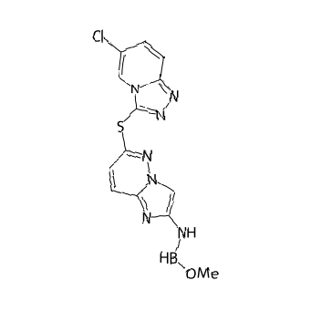 COBNc1cn2nc(Sc3nnc4ccc(Cl)cn34)ccc2n1